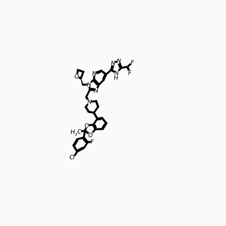 CC1(c2ccc(Cl)cc2F)Oc2cccc(C3CCN(Cc4nc5cc(-c6nnc(C(F)F)[nH]6)cnc5n4C[C@@H]4CCO4)CC3)c2O1